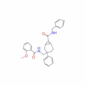 COc1ccccc1C(=O)NCC1(c2ccccc2)CCC2=C(C(=O)NCc3ccccc3)C2C1